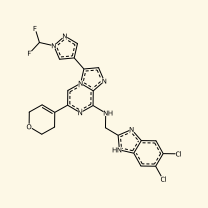 FC(F)n1cc(-c2cnc3c(NCc4nc5cc(Cl)c(Cl)cc5[nH]4)nc(C4=CCOCC4)cn23)cn1